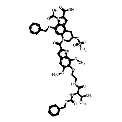 COc1cc2cc(C(=O)N3CC(OS(C)(=O)=O)Cc4c3cc(OCc3ccccc3)c3c4cc(C(=O)O)n3C(=O)O)[nH]c2c(OC)c1OCCNC(=O)C(NC(=O)OCc1ccccc1)C(C)C